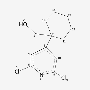 OCC1(c2cc(Cl)nc(Cl)c2)CCCCC1